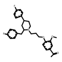 COc1cc(C(C)=O)ccc1OCCCN1CCC(c2ccc(F)cc2)CC1Cc1ccc(F)cc1